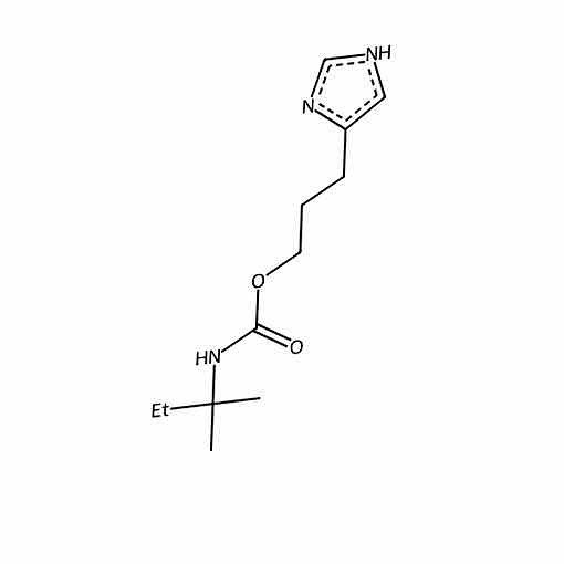 CCC(C)(C)NC(=O)OCCCc1c[nH]cn1